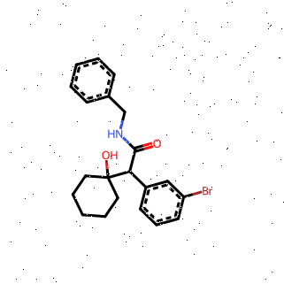 O=C(NCc1ccccc1)C(c1cccc(Br)c1)C1(O)CCCCC1